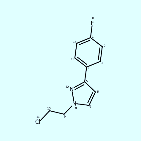 Fc1ccc(-c2c[c]n(CCCl)n2)cc1